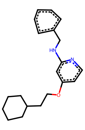 c1ccc(CNc2cc(OCCC3CCCCC3)ccn2)cc1